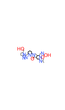 CC(C)N(C)c1cc2c(c(CN(C)C(=O)O)n1)CN(c1cccc(-c3nnc4n3[C@H](CO)CC4)n1)C2=O